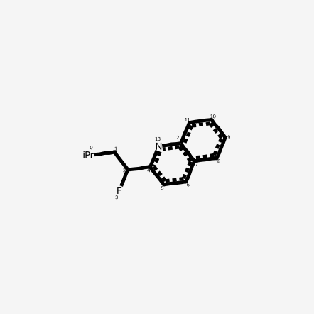 CC(C)CC(F)c1ccc2ccccc2n1